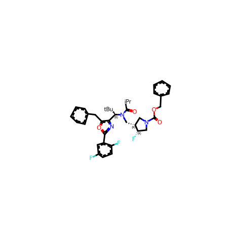 CC(C)C(=O)N(C[C@@H]1CN(C(=O)OCc2ccccc2)C[C@@H]1F)[C@@H](c1nc(-c2cc(F)ccc2F)oc1Cc1ccccc1)C(C)(C)C